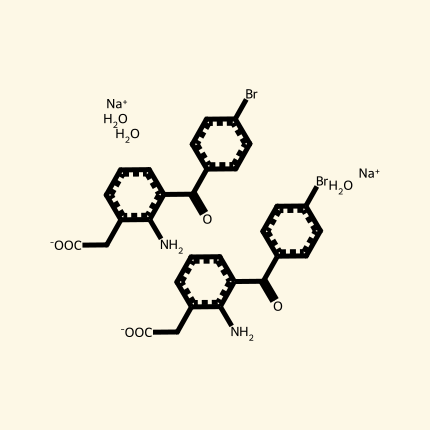 Nc1c(CC(=O)[O-])cccc1C(=O)c1ccc(Br)cc1.Nc1c(CC(=O)[O-])cccc1C(=O)c1ccc(Br)cc1.O.O.O.[Na+].[Na+]